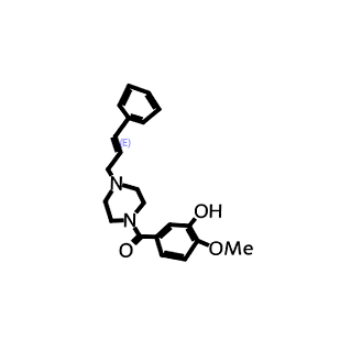 COc1ccc(C(=O)N2CCN(C/C=C/c3ccccc3)CC2)cc1O